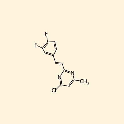 Cc1cc(Cl)nc(/C=C/c2ccc(F)c(F)c2)n1